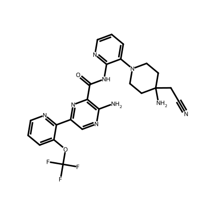 N#CCC1(N)CCN(c2cccnc2NC(=O)c2nc(-c3ncccc3OC(F)(F)F)cnc2N)CC1